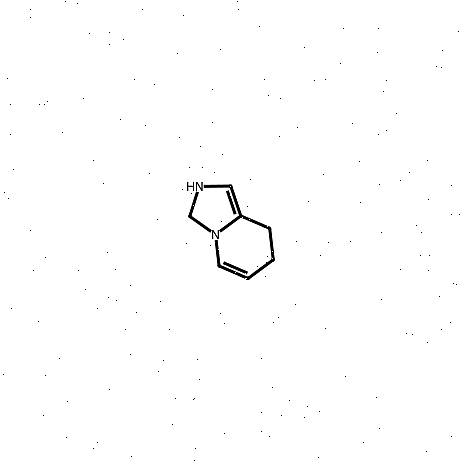 C1=CN2CNC=C2CC1